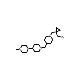 CC(C)CC1(CN2CCC(CN3CCC(N4CCN(C)CC4)CC3)CC2)CC1